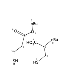 CCCCC(CS)C(=O)O.CCCCOC(=O)CCS